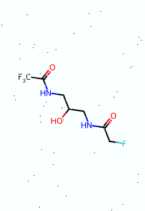 O=C(CF)NCC(O)CNC(=O)C(F)(F)F